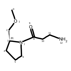 COC[C@H]1CCCN1C(=O)CCN